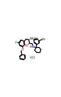 CC(=O)N[C@@H](Cc1cc(F)cc(OCc2ccccc2)c1)[C@H](O)CNC1(c2cccc(C(C)C)c2)CCCCC1.Cl